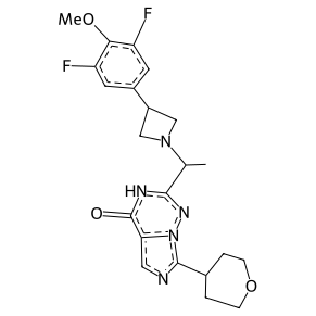 COc1c(F)cc(C2CN(C(C)c3nn4c(C5CCOCC5)ncc4c(=O)[nH]3)C2)cc1F